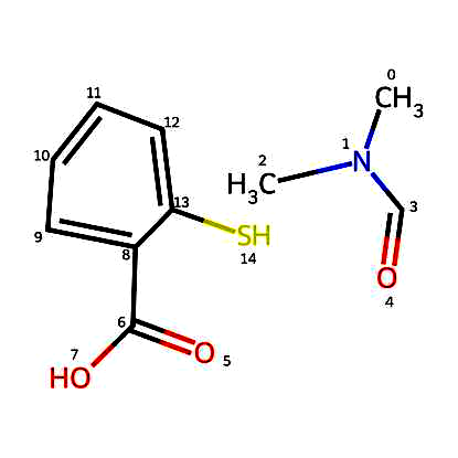 CN(C)C=O.O=C(O)c1ccccc1S